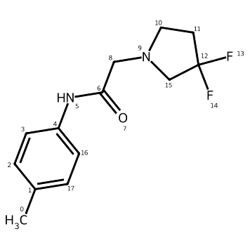 Cc1ccc(NC(=O)CN2CCC(F)(F)C2)cc1